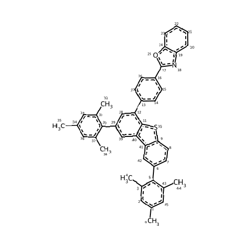 Cc1cc(C)c(-c2ccc3sc4c(-c5ccc(-c6nc7ccccc7o6)cc5)cc(-c5c(C)cc(C)cc5C)cc4c3c2)c(C)c1